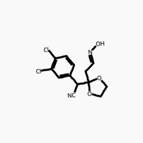 N#CC(c1ccc(Cl)c(Cl)c1)C1(CC=NO)OCCO1